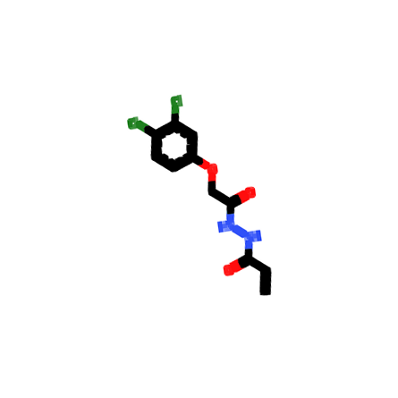 C=CC(=O)NNC(=O)COc1ccc(Cl)c(Cl)c1